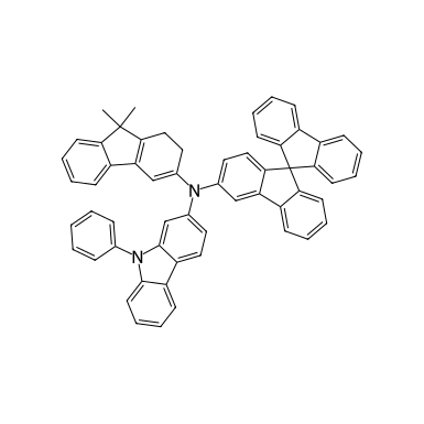 CC1(C)C2=C(C=C(N(c3ccc4c(c3)-c3ccccc3C43c4ccccc4-c4ccccc43)c3ccc4c5ccccc5n(-c5ccccc5)c4c3)CC2)c2ccccc21